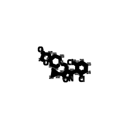 O=C1COC2(CCN(Cc3c(-c4c(Cl)cccc4Cl)noc3C3CC3)CC2)C1